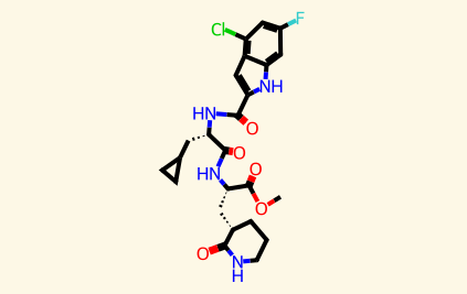 COC(=O)[C@H](C[C@@H]1CCCNC1=O)NC(=O)[C@H](CC1CC1)NC(=O)c1cc2c(Cl)cc(F)cc2[nH]1